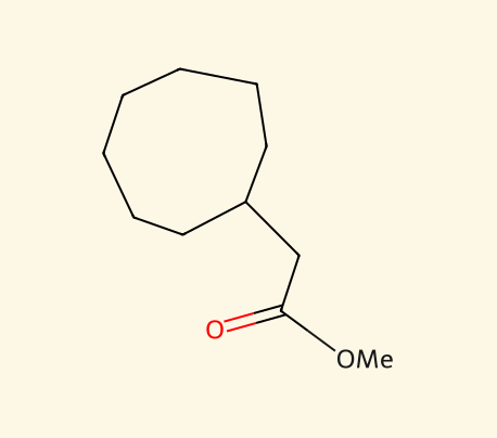 COC(=O)CC1CCCCCCC1